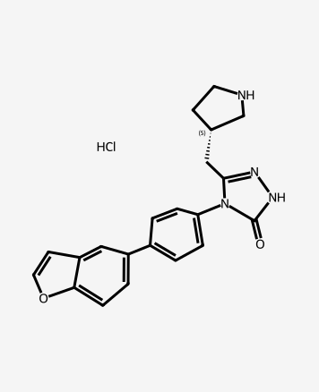 Cl.O=c1[nH]nc(C[C@@H]2CCNC2)n1-c1ccc(-c2ccc3occc3c2)cc1